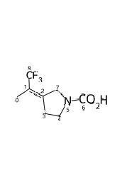 CC(=C1CCN(C(=O)O)C1)C(F)(F)F